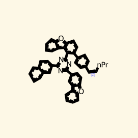 CCC/C=C\c1ccc(-c2ccc3oc4ccccc4c3c2-c2nc(-c3ccc4ccccc4c3)nc(-c3ccc4oc5ccccc5c4c3)n2)cc1